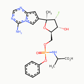 CC(NP(=O)(OC[C@H]1O[C@@](C)(c2cc3ncnc(N)n3c2)[C@H](F)[C@@H]1O)Oc1ccccc1)C(=O)O